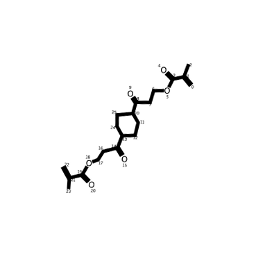 C=C(C)C(=O)OCCC(=O)C1CCC(C(=O)CCOC(=O)C(=C)C)CC1